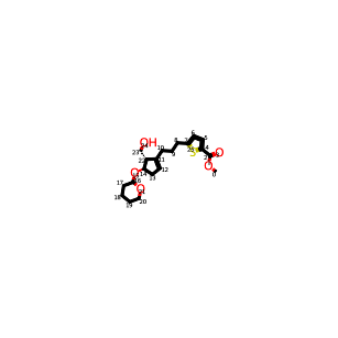 COC(=O)c1ccc(CCCC2=CC[C@@H](OC3CCCCO3)[C@@H]2CO)s1